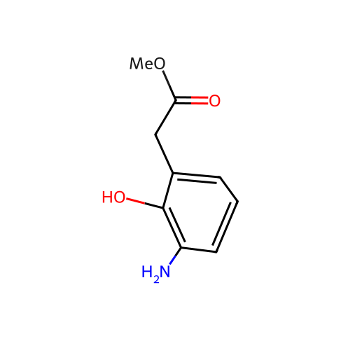 COC(=O)Cc1cccc(N)c1O